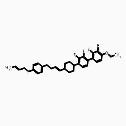 C/C=C/CCc1ccc(CC/C=C/C2CCC(c3ccc(-c4ccc(OCC)c(F)c4F)c(F)c3F)CC2)cc1